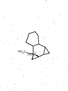 O=C(O)C12CC1(C(=O)O)C1CC1C1CCCCC12